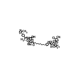 Cc1ncsc1-c1ccc(C(C)NC(=O)[C@@H]2C[C@@H](O)CN2C(=O)[C@@H](NC(=O)CCCCCCCCc2ccc(C(=O)N[C@H]3C(C)(C)[C@H](Oc4ccc(C#N)c(Cl)c4)C3(C)C)cc2)C(C)(C)C)cc1